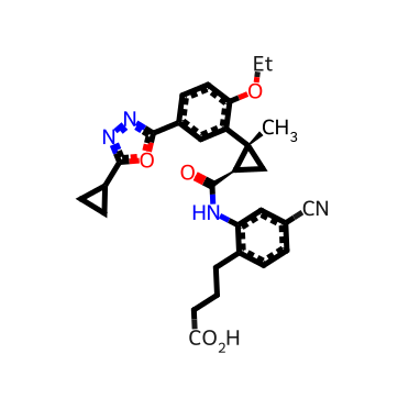 CCOc1ccc(-c2nnc(C3CC3)o2)cc1[C@]1(C)C[C@H]1C(=O)Nc1cc(C#N)ccc1CCCC(=O)O